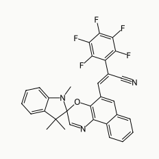 CN1c2ccccc2C(C)(C)C12C=Nc1c(c(C=C(C#N)c3c(F)c(F)c(F)c(F)c3F)cc3ccccc13)O2